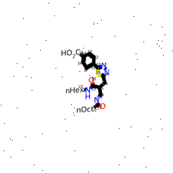 CCCCCCCCC(=O)/N=C/C(Cc1nnc(-c2ccc(C(=O)O)cc2)s1)C(=O)NCCCCCC